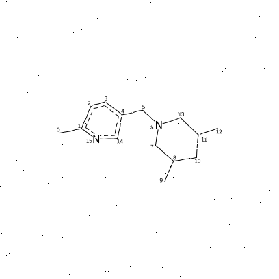 Cc1ccc(CN2CC(C)CC(C)C2)cn1